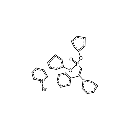 Br[n+]1ccccc1.O=P(C=C(c1ccccc1)c1ccccc1)(Oc1ccccc1)Oc1ccccc1